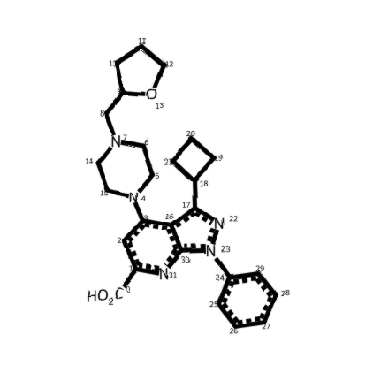 O=C(O)c1cc(N2CCN(CC3CCCO3)CC2)c2c(C3CCC3)nn(-c3ccccc3)c2n1